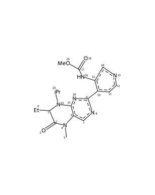 CCC1C(=O)N(C)c2cnc(-c3ccncc3NC(=O)OC)nc2N1C(C)C